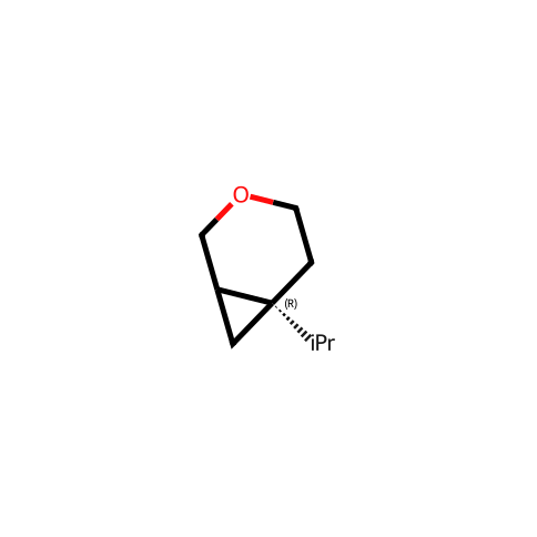 CC(C)[C@@]12CCOCC1C2